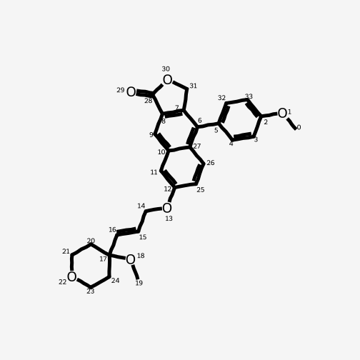 COc1ccc(-c2c3c(cc4cc(OCC=CC5(OC)CCOCC5)ccc24)C(=O)OC3)cc1